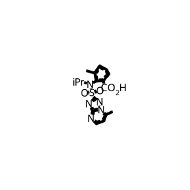 Cc1cccc(C(=O)O)c1N(C(C)C)S(=O)(=O)c1nc2nccc(C)n2n1